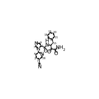 N#Cc1ccc(-n2cncc2C(=O)NC(Cc2ccccc2)C(=O)C(N)=O)nc1